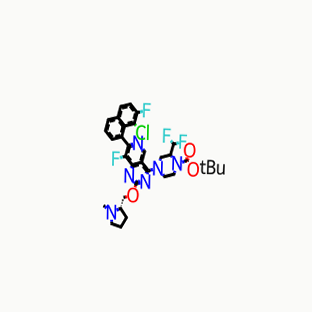 CN1CCC[C@H]1COc1nc(N2CCN(C(=O)OC(C)(C)C)C(C(F)F)C2)c2cnc(-c3cccc4ccc(F)c(Cl)c34)c(F)c2n1